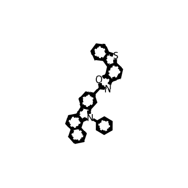 c1ccc(-n2c3cc(-c4nc5ccc6sc7ccccc7c6c5o4)ccc3c3ccc4ccccc4c32)cc1